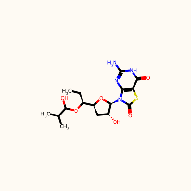 CC[C@H](OC(O)C(C)C)[C@@H]1C[C@@H](O)[C@H](n2c(=O)sc3c(=O)[nH]c(N)nc32)O1